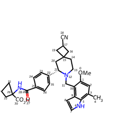 COc1cc(C)c2[nH]ccc2c1CN1CCC2(CC(C#N)C2)C[C@H]1c1ccc(C(=O)NC2(C(=O)O)CCC2)cc1